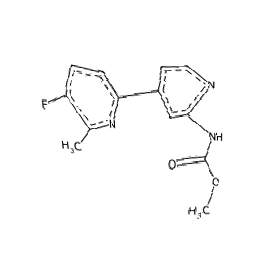 COC(=O)Nc1cc(-c2ccc(F)c(C)n2)ccn1